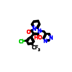 O=c1c(-c2cc(Cl)cc(C(F)(F)F)c2)c(O)n(Cc2cncnc2)c2cccc[n+]12